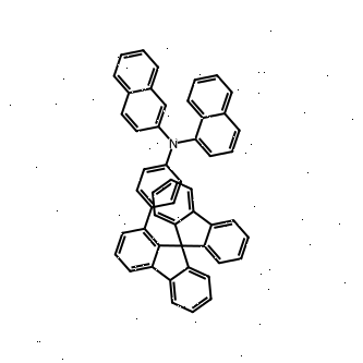 c1ccc2c(c1)-c1ccccc1C21c2ccccc2-c2cccc(-c3ccc(N(c4ccc5ccccc5c4)c4cccc5ccccc45)cc3)c21